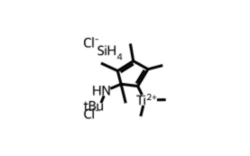 CC1=C(C)C(C)(NC(C)(C)C)[C]([Ti+2]([CH3])[CH3])=C1C.[Cl-].[Cl-].[SiH4]